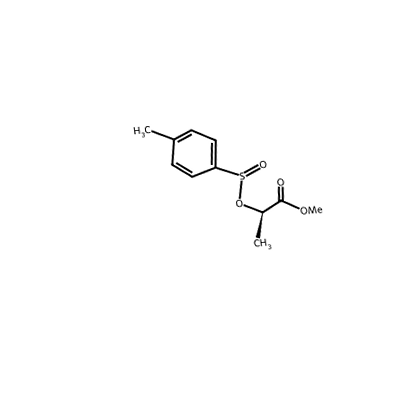 COC(=O)[C@@H](C)OS(=O)c1ccc(C)cc1